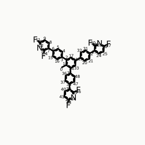 Cc1c(-c2ccc(-c3ccc(F)nc3F)cc2)cc(-c2ccc(-c3ccc(F)nc3F)cc2)cc1-c1ccc(-c2ccc(F)nc2F)cc1